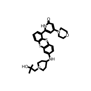 CC(C)(O)CN1CCC(Nc2ccc3c(c2)Sc2cccc(-c4cc(N5CCOCC5)cc(=O)[nH]4)c2S3)CC1